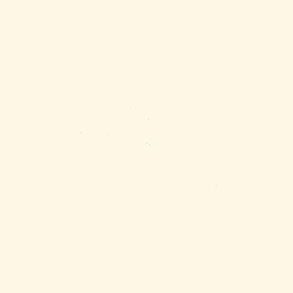 COc1ccc(Cl)c(CNc2ncnc3c2CN(C(=O)O)C3)c1F